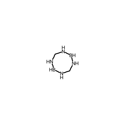 B1NCNBNCN1